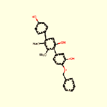 COc1c(-c2ccc(O)cc2)cc(O)c(-c2ccc(OCc3ccccc3)c(O)c2)c1OC